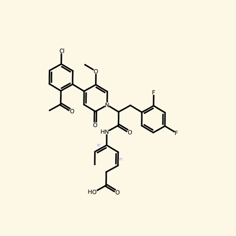 C/C=C(\C=C/CC(=O)O)NC(=O)C(Cc1ccc(F)cc1F)n1cc(OC)c(-c2cc(Cl)ccc2C(C)=O)cc1=O